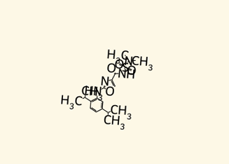 CC(C)c1ccc(C(C)C)c(Nc2nc(C(=O)NS(=O)(=O)N(C)C)co2)c1